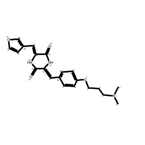 CN(C)CCCOc1ccc(/C=c2\[nH]c(=O)/c(=C/c3ccoc3)[nH]c2=O)cc1